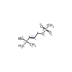 CC(C)(C)[Si](C)(C)/C=C/COS(C)(=O)=O